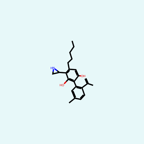 C=C(C)c1ccc(C)cc1-c1c(O)cc(CCCCC)c(C2CN2)c1O